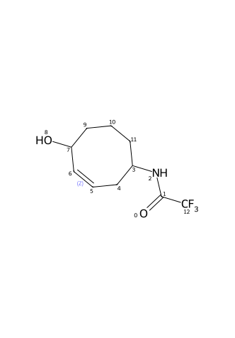 O=C(NC1C/C=C\C(O)CCC1)C(F)(F)F